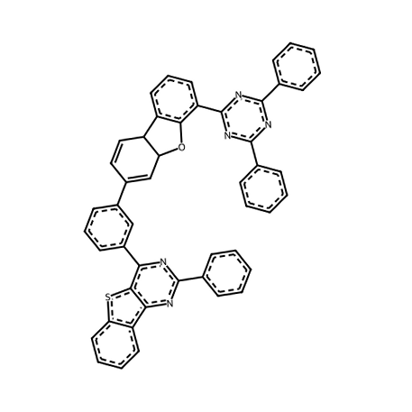 C1=CC2c3cccc(-c4nc(-c5ccccc5)nc(-c5ccccc5)n4)c3OC2C=C1c1cccc(-c2nc(-c3ccccc3)nc3c2sc2ccccc23)c1